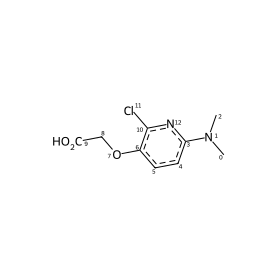 CN(C)c1ccc(OCC(=O)O)c(Cl)n1